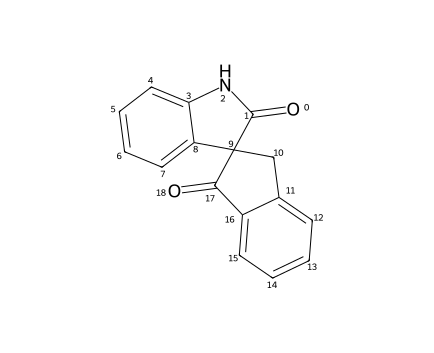 O=C1Nc2ccccc2C12Cc1ccccc1C2=O